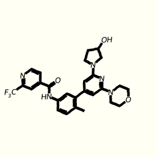 Cc1ccc(NC(=O)c2ccnc(C(F)(F)F)c2)cc1-c1cc(N2CCOCC2)nc(N2CCC(O)C2)c1